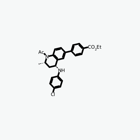 CCOC(=O)c1ccc(-c2ccc3c(c2)[C@H](Nc2ccc(Cl)cc2)C[C@H](C)N3C(C)=O)cc1